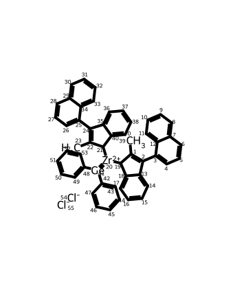 CC1=C(c2cccc3ccccc23)c2ccccc2[CH]1[Zr+2]([CH]1C(C)=C(c2cccc3ccccc23)c2ccccc21)=[Ge]([c]1ccccc1)[c]1ccccc1.[Cl-].[Cl-]